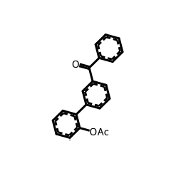 CC(=O)Oc1[c]cccc1-c1cccc(C(=O)c2ccccc2)c1